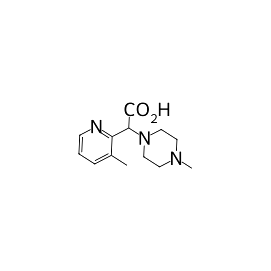 Cc1cccnc1C(C(=O)O)N1CCN(C)CC1